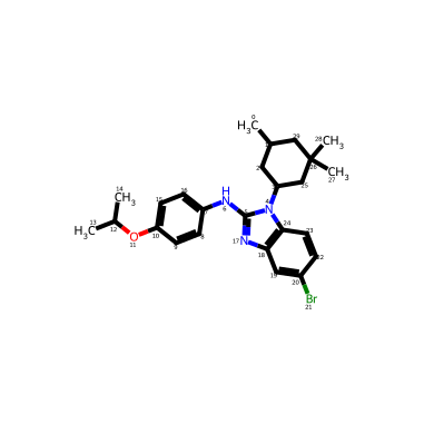 CC1CC(n2c(Nc3ccc(OC(C)C)cc3)nc3cc(Br)ccc32)CC(C)(C)C1